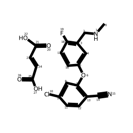 CNCc1cc(Oc2cc(Cl)ccc2C#N)ccc1F.O=C(O)C=CC(=O)O